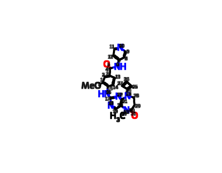 COc1cc(C(=O)Nc2ccncc2)ccc1Nc1ncc2c(n1)N(C1=CC=C1)CCC(=O)N2C